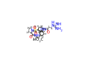 N=C(N)NCCC(=O)Nc1ccc(CC(NC(=O)C2CCCN2S(=O)(=O)c2ccccc2)C(=O)O)cc1